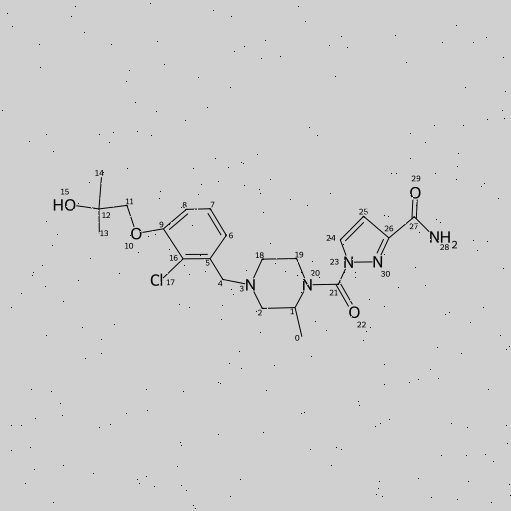 CC1CN(Cc2cccc(OCC(C)(C)O)c2Cl)CCN1C(=O)n1ccc(C(N)=O)n1